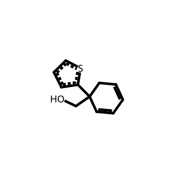 OCC1(c2cccs2)C=CC=CC1